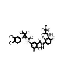 Cc1cc(NC(=O)[C@H]2[C@H](C3=CC(Cl)=C(Cl)CC3)C2(Cl)Cl)cc(C(=O)Nc2ccc(F)c(NC(=O)C(F)(F)F)c2F)c1Cl